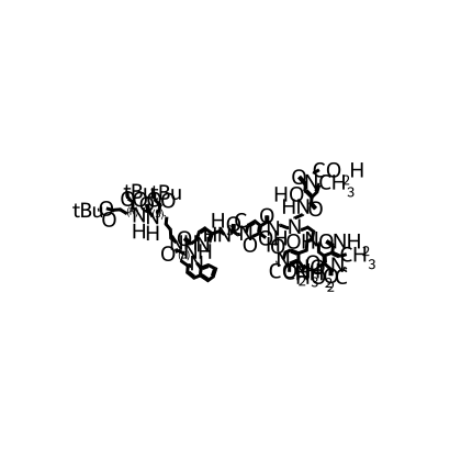 Cc1cc(C(=O)NCCN(CCCN(CCc2c(C(N)=O)c(C)n(CC(=O)O)c(=O)c2O)CCc2c(C(N)=O)c(C)n(CC(=O)O)c(=O)c2O)CCNC(=O)c2cc(C)n(CC(=O)NCc3ccc(C(=O)N[C@@H](Cc4ccc5ccccc5n4)C(=O)NCCCC[C@H](NC(=O)N[C@H](CCC(=O)OC(C)(C)C)C(=O)OC(C)(C)C)C(=O)OC(C)(C)C)nc3)c(=O)c2O)c(O)c(=O)n1CC(=O)O